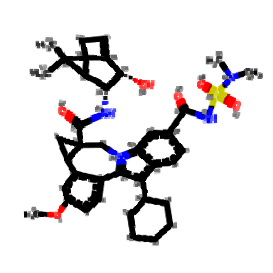 COc1ccc2c(c1)C1CC1(C(=O)N[C@@H]1C3C(C)(C)C34CC=C4[C@@H]1O)Cn1c-2c(C2CCCCC2)c2ccc(C(=O)NS(=O)(=O)N(C)C)cc21